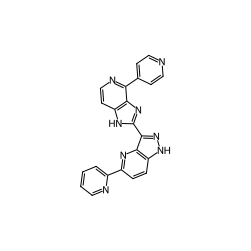 c1ccc(-c2ccc3[nH]nc(-c4nc5c(-c6ccncc6)nccc5[nH]4)c3n2)nc1